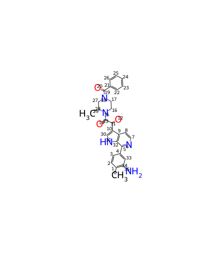 Cc1ccc(-c2nccc3c(C(=O)C(=O)N4CCN(C(=O)c5ccccc5)C[C@H]4C)c[nH]c23)cc1N